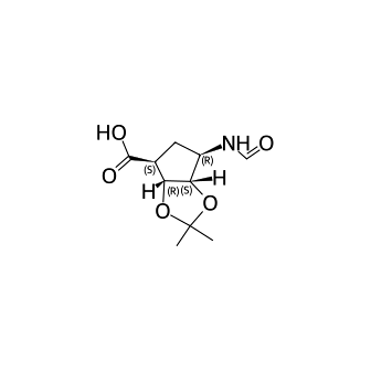 CC1(C)O[C@@H]2[C@H](O1)[C@@H](C(=O)O)C[C@H]2NC=O